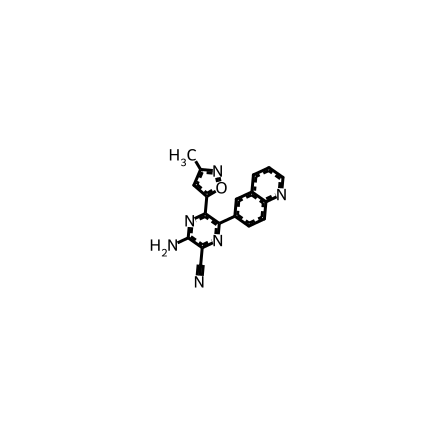 Cc1cc(-c2nc(N)c(C#N)nc2-c2ccc3ncccc3c2)on1